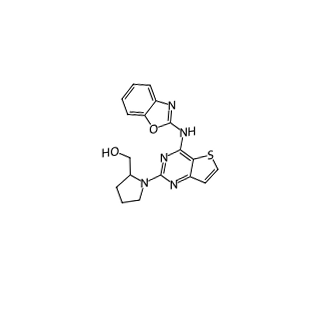 OCC1CCCN1c1nc(Nc2nc3ccccc3o2)c2sccc2n1